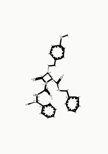 COc1ccc(CC[C@H]2C(=O)N(C(=O)N[C@H](C)c3ccccc3)[C@@H]2C(=O)OCc2ccccc2)cc1